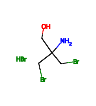 Br.NC(CO)(CBr)CBr